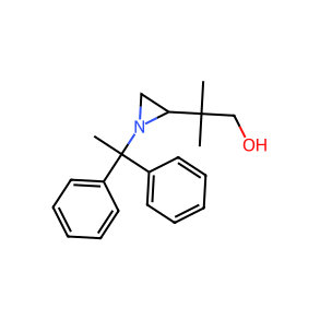 CC(C)(CO)C1CN1C(C)(c1ccccc1)c1ccccc1